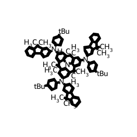 CC(C)(C)c1ccc(N(c2ccc3c(c2)C(C)(C)c2ccccc2-3)c2cc3c4c(c2)C(C)(C)c2cc(N(c5ccc(C(C)(C)C)cc5)c5ccc6c(c5)C(C)(C)c5ccccc5-6)cc5c2N4c2c(cc(N(c4ccc(C(C)(C)C)cc4)c4ccc6c(c4)C(C)(C)c4ccccc4-6)cc2C5(C)C)C3(C)C)cc1